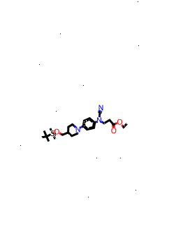 CCOC(=O)CCN(C#N)c1ccc(N2CCC(CO[Si](C)(C)C(C)(C)C)CC2)cc1